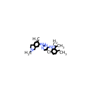 C=C(C)c1c(CC)cccc1Nc1nc(Nc2cc3c(cc2C)CCN(C)C3)ncc1C